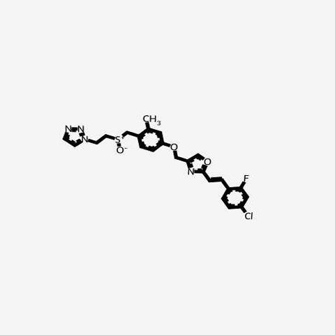 Cc1cc(OCc2coc(/C=C/c3ccc(Cl)cc3F)n2)ccc1C[S+]([O-])CCn1ccnn1